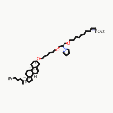 CCCCCCCC/C=C\CCCCCCCCOC[C@H](COCCCCCCO[C@H]1CC[C@@]2(C)C(=CC[C@@H]3C2CC[C@@]2(C)C3CC[C@@H]2C(C)CCCC(C)C)C1)N1CCCC1